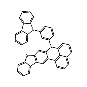 c1cc(N2c3cc4sc5ccccc5c4cc3-c3cccc4cccc2c34)cc(-n2c3ccccc3c3ccccc32)c1